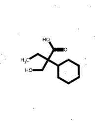 CCC(CO)(C(=O)O)C1CCCCC1